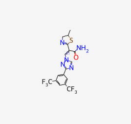 CC1CN=C(/C(=C/n2cnc(-c3cc(C(F)(F)F)cc(C(F)(F)F)c3)n2)C(N)=O)S1